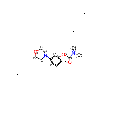 CCN(CC)C(=O)Oc1cccc(N2CCOCC2)c1